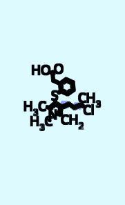 C=c1/c(=C\C=C(/C)Cl)c(Sc2ccccc2CC(=O)O)c(C)n1C